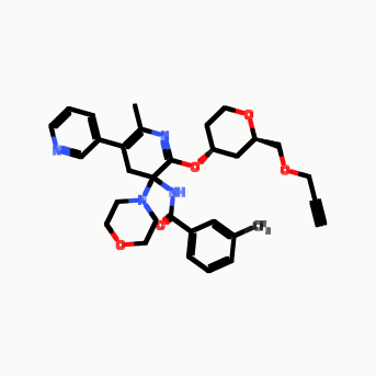 C#CCOC[C@H]1C[C@@H](OC2=NC(C)=C(c3cccnc3)CC2(NC(=O)c2cccc(C(F)(F)F)c2)N2CCOCC2)CCO1